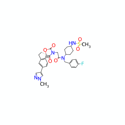 Cn1cc(-c2ccc3c(c2)CC[C@@]32OC(=O)N(CC(=O)N(Cc3ccc(F)cc3)C3CCC(NS(C)(=O)=O)CC3)C2=O)cn1